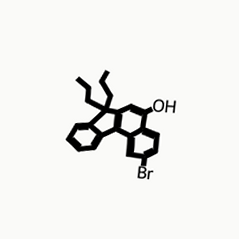 CCCC1(CCC)c2ccccc2-c2c1cc(O)c1ccc(Br)cc21